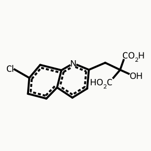 O=C(O)C(O)(Cc1ccc2ccc(Cl)cc2n1)C(=O)O